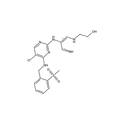 CS(=O)(=O)c1ccccc1CNc1nc(N/C(C=N)=C/NCCO)ncc1Cl